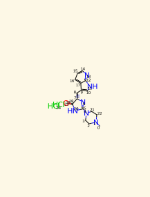 CN1CCN(C2=N/C(=C\c3c[nH]c4ncccc34)C(=O)N2)CC1.Cl.Cl